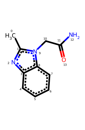 Cc1nc2ccccc2n1CC(N)=O